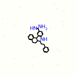 N=C(N)c1ccc2c(c1)C1c3ccccc3CCC1C(CCc1ccccc1)N2